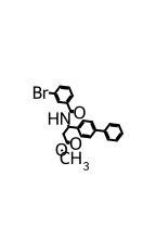 COC(=O)CC(NC(=O)c1cccc(Br)c1)c1ccc(-c2ccccc2)cc1